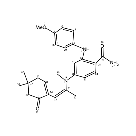 COc1ccc(Nc2cc(N(C)/C(C)=C\C3=CCC(C)(C)CC3=O)ccc2C(N)=O)cc1